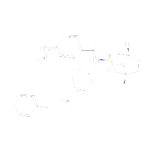 O=C(N[C@@H]1C[C@H]2CC[C@@H](C1)N2S(=O)(=O)CC1CCN(C(=O)OCc2ccccc2)CC1)c1ccc2[nH]c(=O)oc2c1